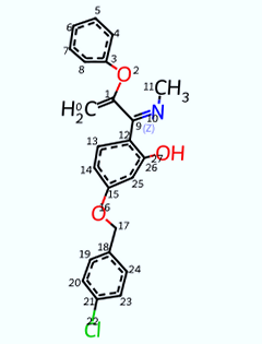 C=C(Oc1ccccc1)/C(=N\C)c1ccc(OCc2ccc(Cl)cc2)cc1O